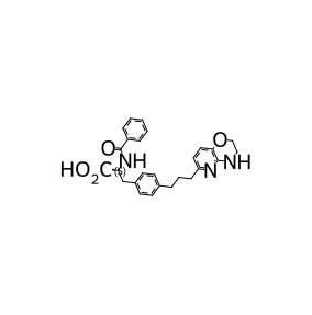 O=C(N[C@@H](Cc1ccc(CCCc2ccc3c(n2)NCCO3)cc1)C(=O)O)c1ccccc1